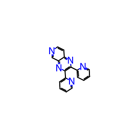 c1ccc(-c2nc3ccncc3nc2-c2ccccn2)nc1